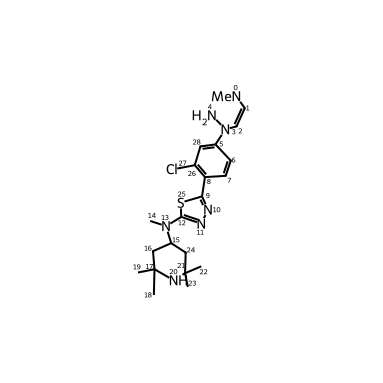 CN/C=C\N(N)c1ccc(-c2nnc(N(C)C3CC(C)(C)NC(C)(C)C3)s2)c(Cl)c1